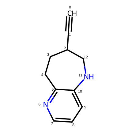 C#CC1CCc2ncccc2NC1